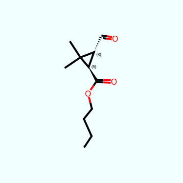 CCCCOC(=O)[C@@H]1[C@@H](C=O)C1(C)C